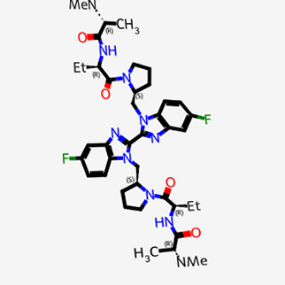 CC[C@@H](NC(=O)[C@@H](C)NC)C(=O)N1CCC[C@H]1Cn1c(-c2nc3cc(F)ccc3n2C[C@@H]2CCCN2C(=O)[C@@H](CC)NC(=O)[C@@H](C)NC)nc2cc(F)ccc21